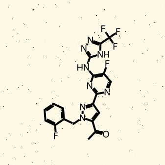 CC(=O)c1cc(-c2ncc(F)c(Nc3nnc(C(F)(F)F)[nH]3)n2)nn1Cc1ccccc1F